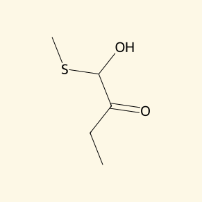 CCC(=O)C(O)SC